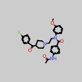 COc1cccc(N(CCN2CCC(C(=O)c3ccc(F)cc3)CC2)C(=O)c2ccc(NC(C)=O)cc2)c1